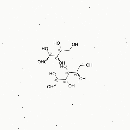 O=C[C@@H](O)[C@H](O)[C@H](O)CO.O=C[C@H](O)[C@@H](O)[C@H](O)[C@H](O)CO